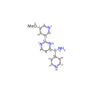 COc1cncc(-c2nccc(C(N)c3ccncc3)n2)c1